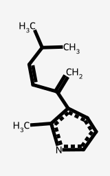 C=C(/C=C\C(C)C)c1cccnc1C